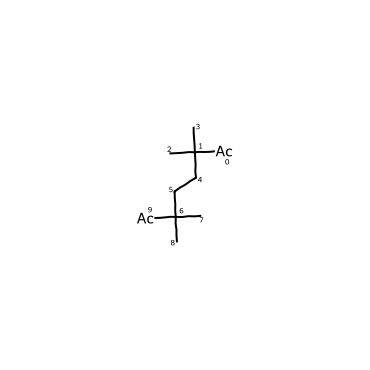 CC(=O)C(C)(C)CCC(C)(C)C(C)=O